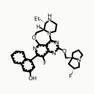 CC[C@@H]1NCCN2c3nc(OC[C@@]45CCCN4C[C@H](F)C5)nc4c(F)c(-c5cc(O)cc6ccccc56)nc(c34)OC[C@H]12